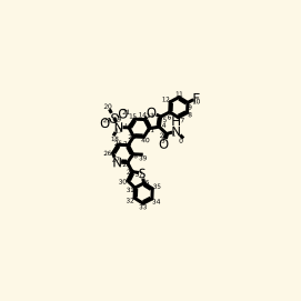 CNC(=O)c1c(-c2ccc(F)cc2)oc2cc(N(C)S(C)(=O)=O)c(-c3ccnc(-c4cc5ccccc5s4)c3C)cc12